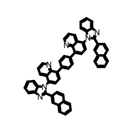 c1ccc2cc(-c3nc4ccccc4n3-c3ccc(-c4ccc(-c5ccc(-n6c(-c7ccc8ccccc8c7)nc7ccccc76)c6cccnc56)cc4)c4ncccc34)ccc2c1